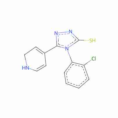 Sc1nnc(C2=CCNC=C2)n1-c1ccccc1Cl